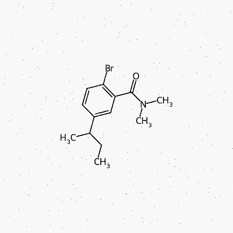 CCC(C)c1ccc(Br)c(C(=O)N(C)C)c1